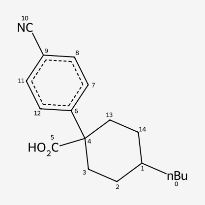 CCCCC1CCC(C(=O)O)(c2ccc(C#N)cc2)CC1